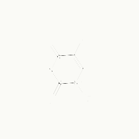 Bc1cn(C)c(=O)[nH]c1=O